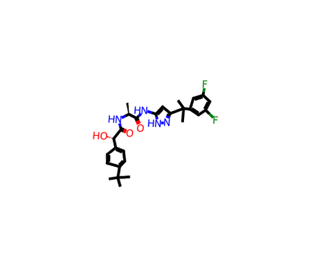 C[C@H](NC(=O)[C@@H](O)c1ccc(C(C)(C)C)cc1)C(=O)Nc1cc(C(C)(C)c2cc(F)cc(F)c2)n[nH]1